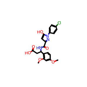 COc1ccc(C(CC(=O)O)NC(=O)c2cc(O)n(-c3ccc(Cl)cc3)n2)c(OC)c1